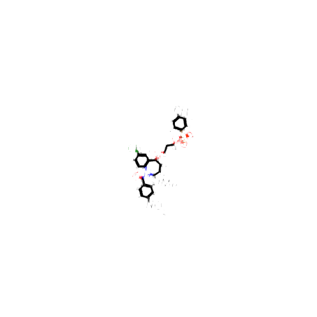 COc1cc([N+](=O)[O-])ccc1C(=O)N1CCCC(OCCCOS(=O)(=O)c2ccc(C)cc2)c2cc(Cl)ccc21